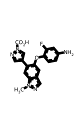 Cn1ncc2cc(Oc3ccc(N)cc3F)c(-c3cnn(C(=O)O)c3)cc21